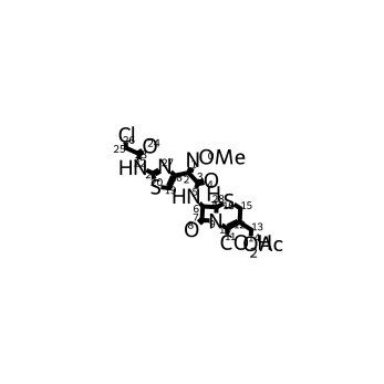 CO/N=C(\C(=O)NC1C(=O)N2C(C(=O)O)=C(COC(C)=O)CS[C@H]12)c1csc(NC(=O)CCl)n1